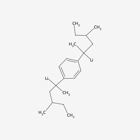 [Li][C](C)(CC(C)CC)c1ccc([C]([Li])(C)CC(C)CC)cc1